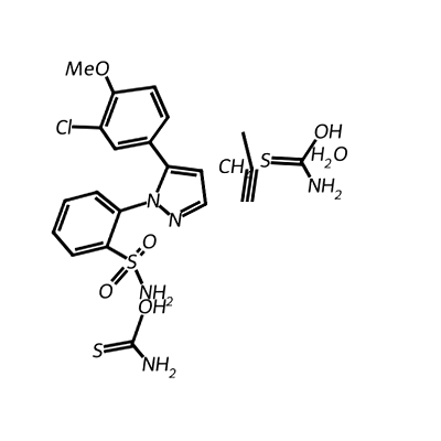 C.C#CC.COc1ccc(-c2ccnn2-c2ccccc2S(N)(=O)=O)cc1Cl.NC(O)=S.NC(O)=S.O